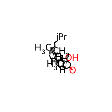 CC(C)CCC[C@@H](C)[C@H]1CC[C@H]2[C@@H]3CC[C@@H]4CC(=O)CC(O)[C@]4(C)[C@H]3CC[C@]12C